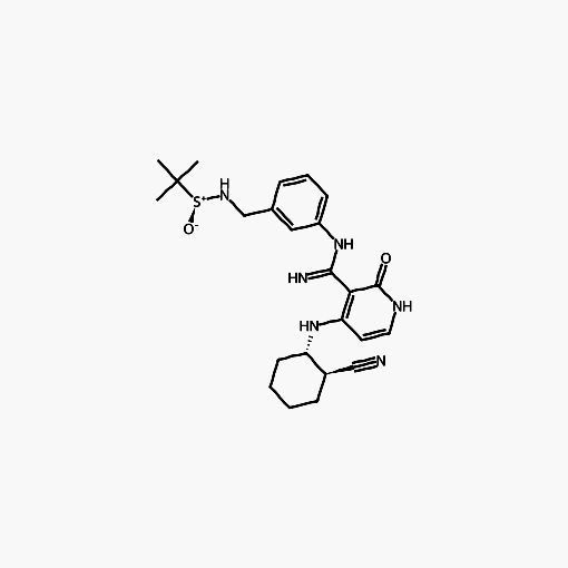 CC(C)(C)[S@+]([O-])NCc1cccc(NC(=N)c2c(N[C@H]3CCCC[C@@H]3C#N)cc[nH]c2=O)c1